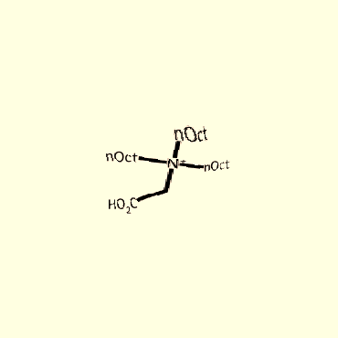 CCCCCCCC[N+](CCCCCCCC)(CCCCCCCC)CC(=O)O